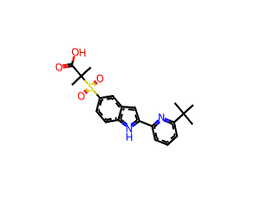 CC(C)(C)c1cccc(-c2cc3cc(S(=O)(=O)C(C)(C)C(=O)O)ccc3[nH]2)n1